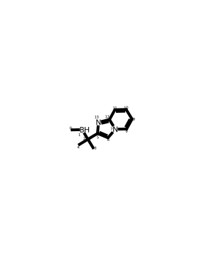 CBC(C)(C)c1cn2ccccc2n1